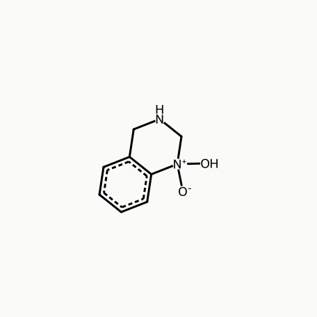 [O-][N+]1(O)CNCc2ccccc21